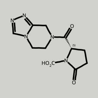 O=C([C@@H]1CCC(=O)N1C(=O)O)N1CCn2cnnc2C1